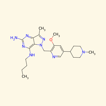 CCCCNc1nc(N)nc2c(C)nn(Cc3ncc(C4CCN(C)CC4)cc3OC)c12